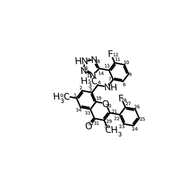 Cc1cc([C@@H](C)Nc2cccc(F)c2-c2nn[nH]n2)c2oc(-c3ccccc3F)c(C)c(=O)c2c1